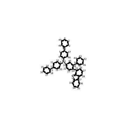 c1ccc(-c2ccc(N(c3ccc(-c4ccccc4)cc3)c3ccc(-c4cccc5c4sc4ccccc45)c(-c4ccccc4)c3)cc2)cc1